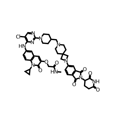 CNC(=O)COc1cc2cc(Nc3nc(N4CCC(CN5CCC6(CC5)CN(c5ccc7c(c5)C(=O)N(C5CCC(=O)NC5=O)C7=O)C6)CC4)ncc3Cl)ccc2n(C2CC2)c1=O